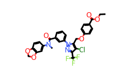 CCOC(=O)c1ccc(OCc2c(Cl)c(C(F)(F)F)nn2-c2cccc(C(=O)N(C)c3ccc4c(c3)OCO4)c2)cc1